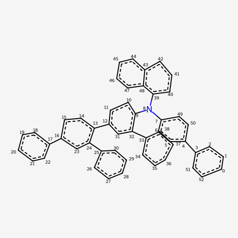 c1ccc(-c2ccc(N(c3ccc(-c4ccc(-c5ccccc5)cc4-c4ccccc4)cc3-c3ccccc3)c3cccc4ccccc34)cc2)cc1